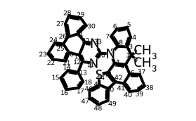 CC1(C)c2ccccc2N(c2nc(-c3ccccc3)c3c4ccccc4c4ccccc4c3n2)c2c1c1ccccc1c1c2sc2ccccc21